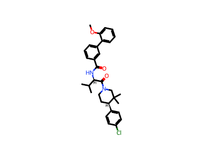 COc1ccccc1-c1cccc(C(=O)N[C@@H](C(=O)N2CC[C@H](c3ccc(Cl)cc3)C(C)(C)C2)C(C)C)c1